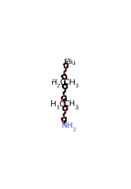 CC(C)(C)c1ccc(/C=C/c2ccc(C(C)(C)c3ccc(/C=C/c4ccc(C(C)(C)c5ccc(/C=C/c6ccc(N)cc6)cc5)cc4)cc3)cc2)cc1